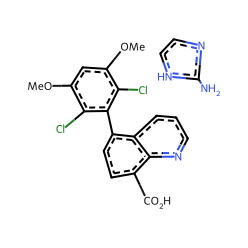 COc1cc(OC)c(Cl)c(-c2ccc(C(=O)O)c3ncccc23)c1Cl.Nc1ncc[nH]1